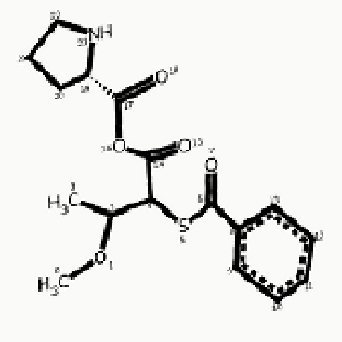 COC(C)C(SC(=O)c1ccccc1)C(=O)OC(=O)[C@@H]1CCCN1